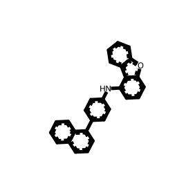 c1ccc2c(-c3ccc(Nc4cccc5oc6ccccc6c45)cc3)cccc2c1